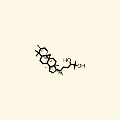 C[C@H](CCC(O)C(C)(C)O)[C@H]1CC[C@@]2(C)C3CCC4C(C)(C)[C@@H](C)CC[C@@]45C[C@@]35CC[C@]12C